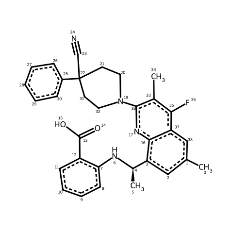 Cc1cc([C@@H](C)Nc2ccccc2C(=O)O)c2nc(N3CCC(C#N)(c4ccccc4)CC3)c(C)c(F)c2c1